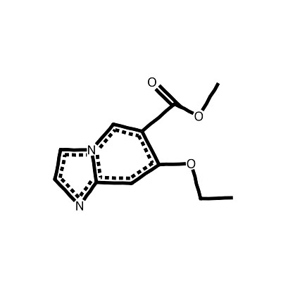 CCOc1cc2nccn2cc1C(=O)OC